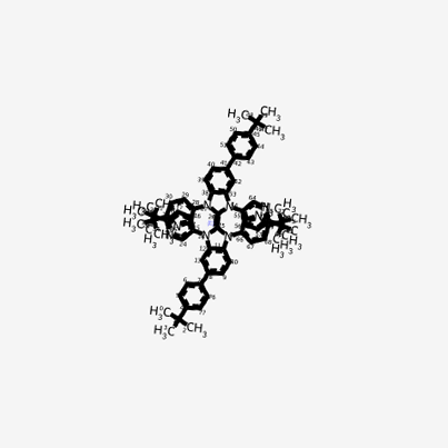 CC(C)(C)c1ccc(-c2ccc3c(c2)N(c2ccc(C(C)(C)C)nc2)/C(=C2\N(c4ccc(C(C)(C)C)nc4)c4ccc(-c5ccc(C(C)(C)C)cc5)cc4N2c2ccc(C(C)(C)C)nc2)N3c2ccc(C(C)(C)C)nc2)cc1